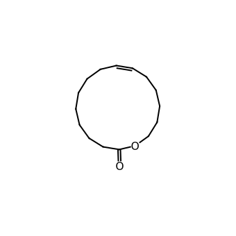 O=C1CCCCCCCC=CCCCCCO1